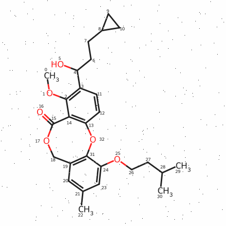 COc1c(C(O)CCC2CC2)ccc2c1C(=O)OCc1cc(C)cc(OCCC(C)C)c1O2